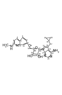 CNc1ccc2ccc(OC[C@H]3O[C@@H](n4cc(CC5CC5)c5c(N)ncnc54)[C@H](O)[C@@H]3O)cc2n1